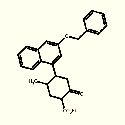 CCOC(=O)C1CC(C)C(c2cc(OCc3ccccc3)cc3ccccc23)CC1=O